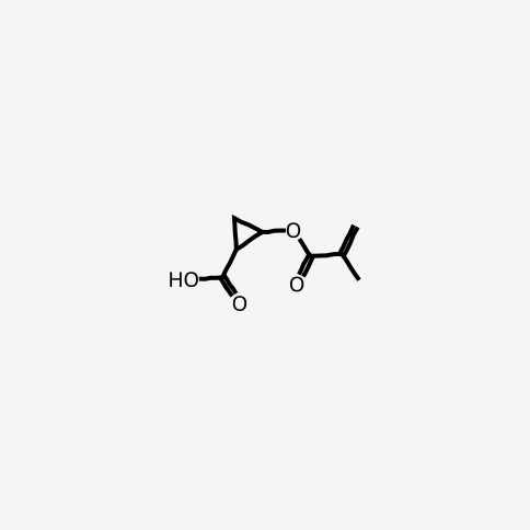 C=C(C)C(=O)OC1CC1C(=O)O